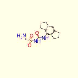 NCS(=O)(=O)NC(=O)Nc1c2c(cc3c1CCC3)CCC2